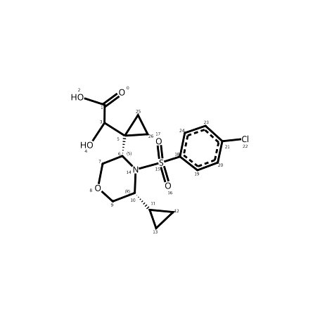 O=C(O)C(O)C1([C@H]2COC[C@@H](C3CC3)N2S(=O)(=O)c2ccc(Cl)cc2)CC1